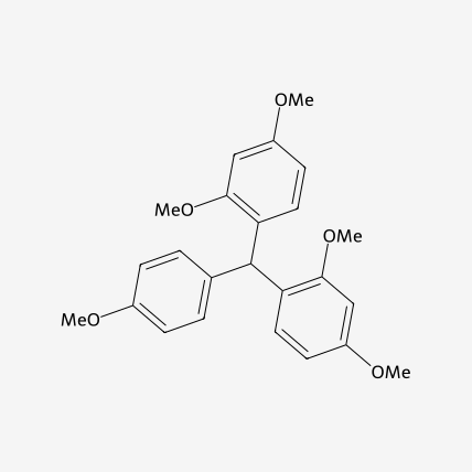 COc1ccc(C(c2ccc(OC)cc2OC)c2ccc(OC)cc2OC)cc1